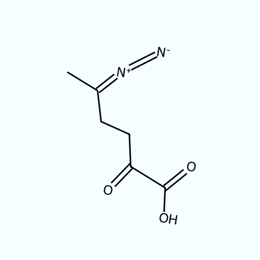 CC(CCC(=O)C(=O)O)=[N+]=[N-]